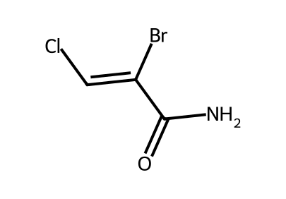 NC(=O)C(Br)=CCl